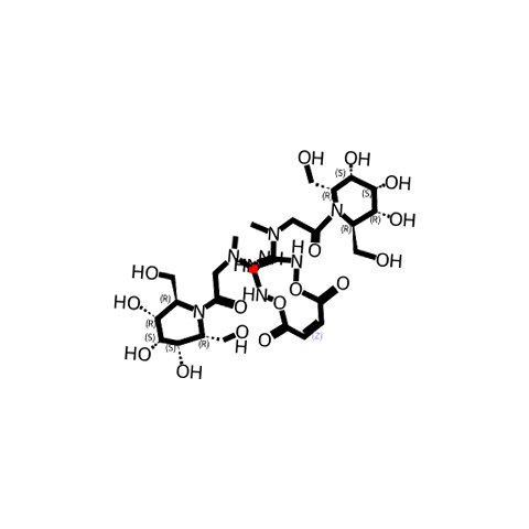 CN(CC(=O)N1[C@H](CO)[C@H](O)[C@H](O)[C@H](O)[C@H]1CO)C(=N)NOC(=O)/C=C\C(=O)ONC(=N)N(C)CC(=O)N1[C@H](CO)[C@H](O)[C@H](O)[C@H](O)[C@H]1CO